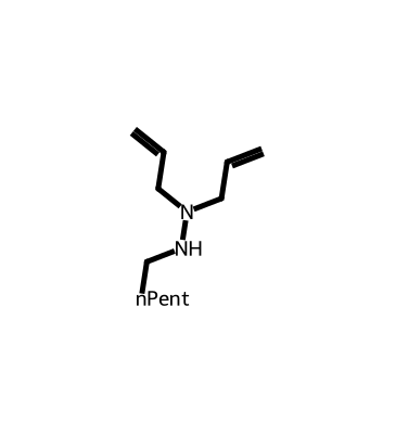 C=CCN(CC=C)NCCCCCC